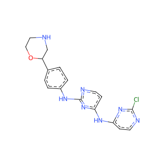 Clc1nccc(Nc2ccnc(Nc3ccc(C4CNCCO4)cc3)n2)n1